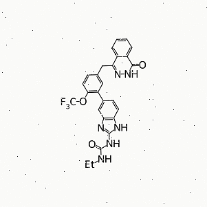 CCNC(=O)Nc1nc2cc(-c3cc(Cc4n[nH]c(=O)c5ccccc45)ccc3OC(F)(F)F)ccc2[nH]1